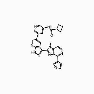 O=C(Nc1cncc(-c2cnc3[nH]nc(-c4nc5c(-c6ccoc6)nccc5[nH]4)c3c2)c1)C1CCC1